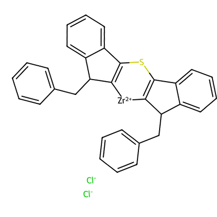 [Cl-].[Cl-].c1ccc(CC2[C]3=C(SC4=[C]([Zr+2]3)C(Cc3ccccc3)c3ccccc34)c3ccccc32)cc1